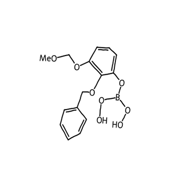 COCOc1cccc(OB(OO)OO)c1OCc1ccccc1